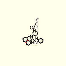 CCCCOC(=O)N1CCC(n2c(=O)[nH]c3ccccc32)C(N(Cc2ccccc2)Cc2ccccc2)C1